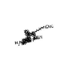 CCCCCCCCCCCCCCCCCCCOC[C@H](COP(=O)(OC[C@H]1O[C@@](C#N)(c2ccc3c(N)ncnn23)[C@@H]2OC(C)(C)O[C@@H]21)Oc1ccccc1Cl)OCc1cc(F)cc(C#N)c1